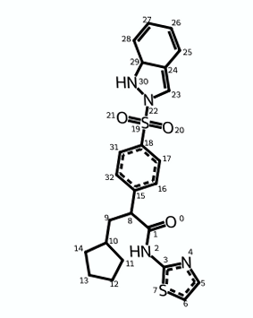 O=C(Nc1nccs1)C(CC1CCCC1)c1ccc(S(=O)(=O)N2C=C3C=CC=CC3N2)cc1